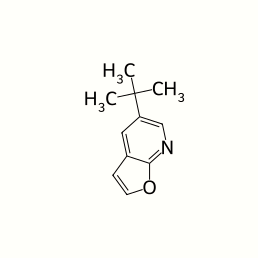 CC(C)(C)c1cnc2occc2c1